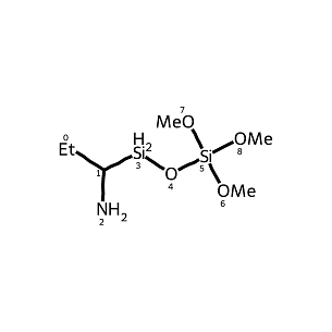 CCC(N)[SiH2]O[Si](OC)(OC)OC